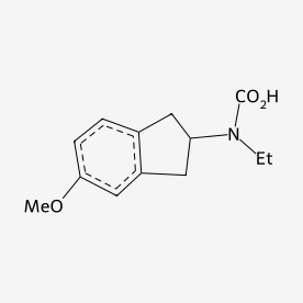 CCN(C(=O)O)C1Cc2ccc(OC)cc2C1